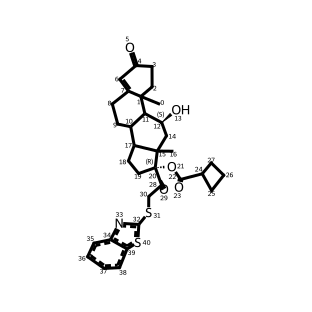 CC12CCC(=O)C=C1CCC1C2[C@@H](O)CC2(C)C1CC[C@]2(OC(=O)C1CCC1)C(=O)CSc1nc2ccccc2s1